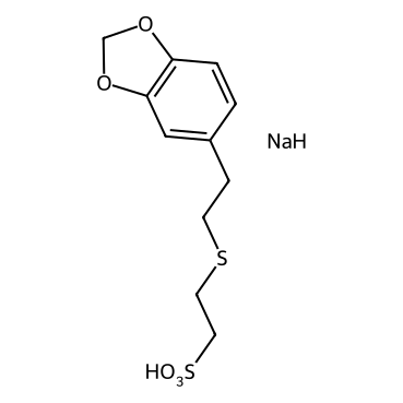 O=S(=O)(O)CCSCCc1ccc2c(c1)OCO2.[NaH]